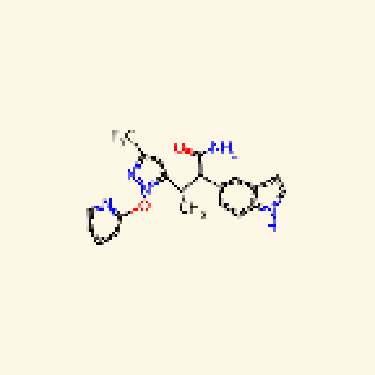 CC(c1cc(C(F)(F)F)nn1Oc1ccccn1)C(C(N)=O)c1ccc2[nH]ccc2c1